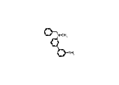 CN(Cc1ccccc1)c1cccc(-c2cccc(N)c2)c1